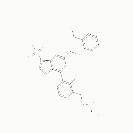 CCOC(=O)Cc1ccccc1OCc1cc(-c2ccnc(CN[S@@+]([O-])C(C)(C)C)c2F)c2ccn(S(C)(=O)=O)c2c1